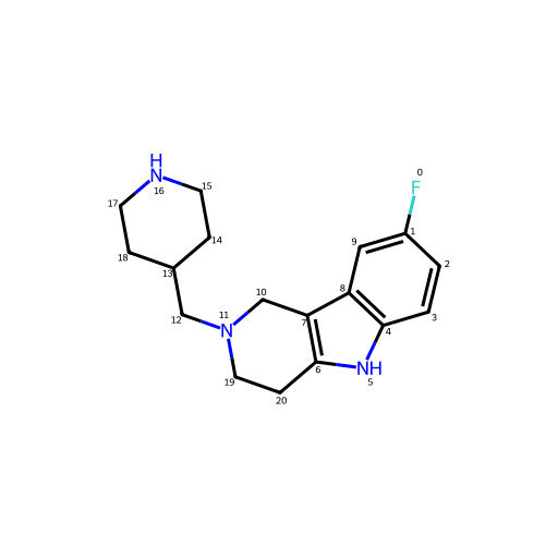 Fc1ccc2[nH]c3c(c2c1)CN(CC1CCNCC1)CC3